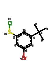 CC(C)(C)c1cc(Br)cc(SCl)c1